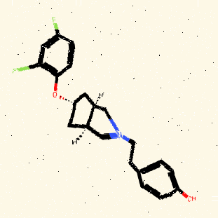 Oc1ccc(CCN2C[C@H]3C[C@H](Oc4ccc(F)cc4F)C[C@H]3C2)cc1